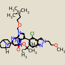 COCCn1cc2c(Cl)c(-c3cn(COCC[Si](C)(C)C)c4nc(N5C6CC[C@H]5C[C@@H](NC(=O)OC(C)(C)C)C6)cnc34)ccc2n1